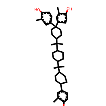 Cc1cc(C2CCC(C(C)(C)C3CCC(C(C)(C)C4CCC(c5ccc(O)c(C)c5)(c5ccc(O)c(C)c5)CC4)CC3)CC2)ccc1O